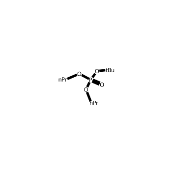 CCCOP(=O)(OCCC)OC(C)(C)C